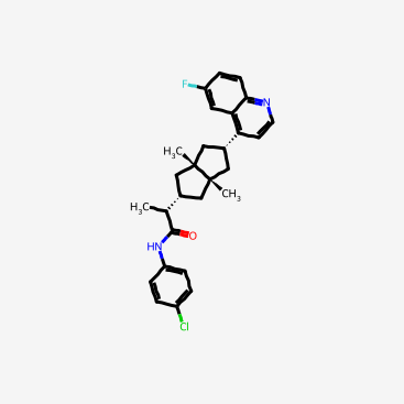 CC(C(=O)Nc1ccc(Cl)cc1)[C@@H]1C[C@]2(C)C[C@H](c3ccnc4ccc(F)cc34)C[C@]2(C)C1